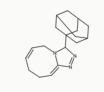 C1=CCN2C(=CCC1)N=NC2C12CC3CC(CC(C3)C1)C2